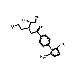 C=C(CN(CCC)[C@@H](C)CO)c1ccc(-n2c(C)ccc2C)nc1